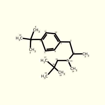 CC(Cc1ccc(C(C)(C)C)cc1)N(C)CC(C)(C)C